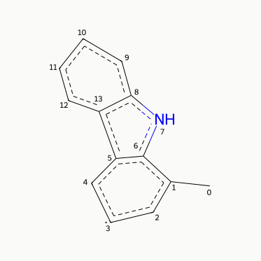 Cc1c[c]cc2c1[nH]c1ccccc12